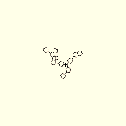 c1ccc(-c2cccc(N(c3ccc(-c4ccc5ccccc5c4)cc3)c3ccc(-c4cccc5c4oc4c6ccccc6c(-c6ccccc6)cc54)cc3)c2)cc1